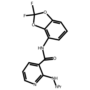 CCCNc1ncccc1C(=O)Nc1cccc2c1OC(F)(F)O2